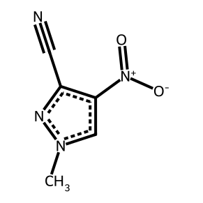 Cn1cc([N+](=O)[O-])c(C#N)n1